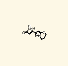 O=c1cc(-c2cc3n(n2)CCCO3)[nH][nH]1